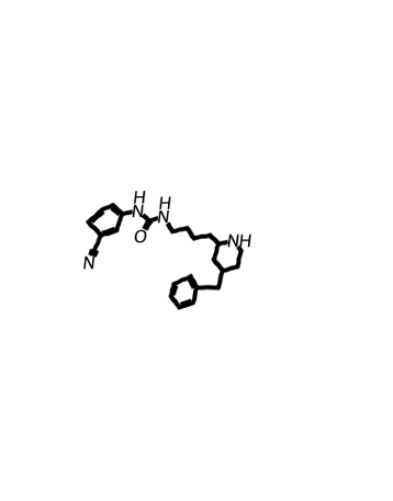 N#Cc1cccc(NC(=O)NCCCCC2CC(Cc3ccccc3)CCN2)c1